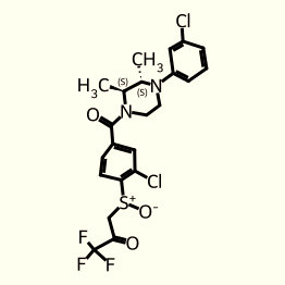 C[C@H]1[C@H](C)N(c2cccc(Cl)c2)CCN1C(=O)c1ccc([S+]([O-])CC(=O)C(F)(F)F)c(Cl)c1